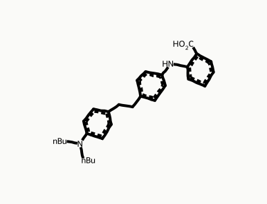 CCCCN(CCCC)c1ccc(CCc2ccc(Nc3ccccc3C(=O)O)cc2)cc1